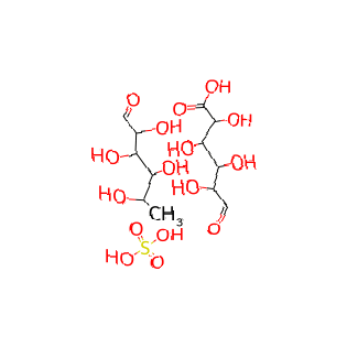 CC(O)C(O)C(O)C(O)C=O.O=CC(O)C(O)C(O)C(O)C(=O)O.O=S(=O)(O)O